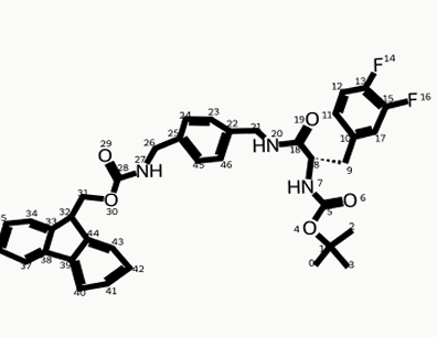 CC(C)(C)OC(=O)N[C@@H](Cc1ccc(F)c(F)c1)C(=O)NCc1ccc(CNC(=O)OCC2c3ccccc3-c3ccccc32)cc1